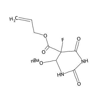 C=CCOC(=O)C1(F)C(=O)NC(=O)NC1OCCCC